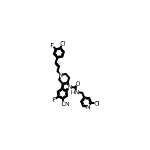 N#Cc1cc2c(cc1F)c1c(n2C(=O)NCc2ccnc(Cl)c2)CCN(C/C=C/c2ccc(Cl)c(F)c2)C1